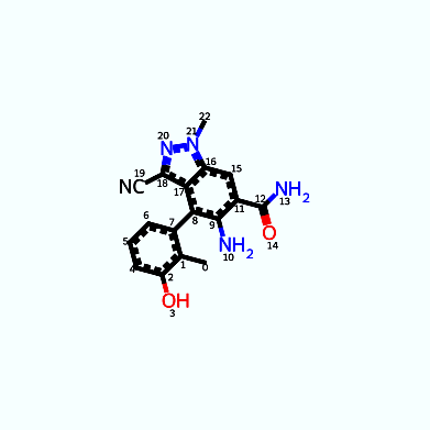 Cc1c(O)cccc1-c1c(N)c(C(N)=O)cc2c1c(C#N)nn2C